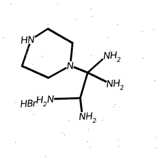 Br.NC(N)C(N)(N)N1CCNCC1